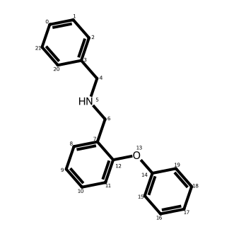 c1ccc(CNCc2ccccc2Oc2ccccc2)cc1